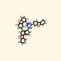 c1ccc(-c2nc(-c3ccc4c(c3)oc3ccccc34)nc(-c3cccc4oc5ccc(-c6ccc7c(c6)oc6ccccc67)cc5c34)n2)cc1